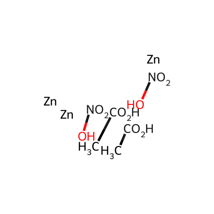 CC(=O)O.CC(=O)O.O=[N+]([O-])O.O=[N+]([O-])O.[Zn].[Zn].[Zn]